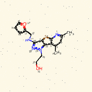 Cc1cc(C)c2c(n1)sc1c(NCc3ccco3)nn(CCO)c12